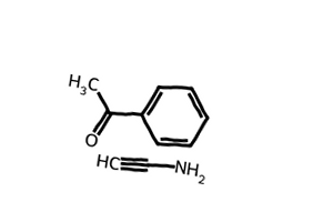 C#CN.CC(=O)c1ccccc1